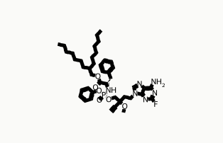 C#CC(CCn1cnc2c(N)nc(F)nc21)(COP(=O)(N[C@@H](Cc1ccccc1)C(=O)OCC(CCCCCCC)CCCCCCC)Oc1ccccc1)OC